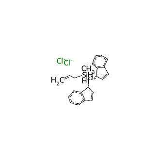 C=CC[SiH](C)[Hf+2]([CH]1C=Cc2ccccc21)[CH]1C=Cc2ccccc21.[Cl-].[Cl-]